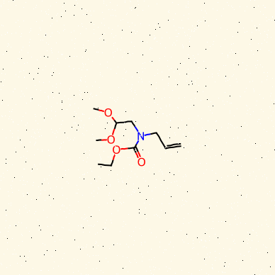 C=CCN(CC(OC)OC)C(=O)OCC